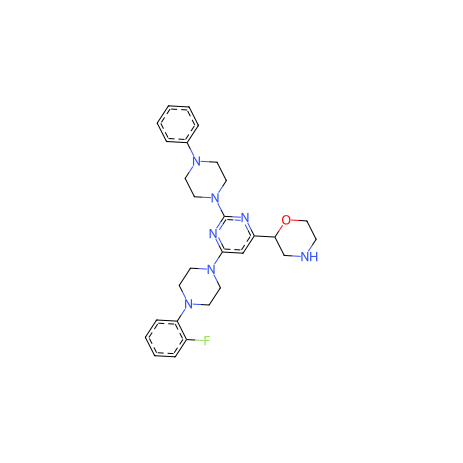 Fc1ccccc1N1CCN(c2cc(C3CNCCO3)nc(N3CCN(c4ccccc4)CC3)n2)CC1